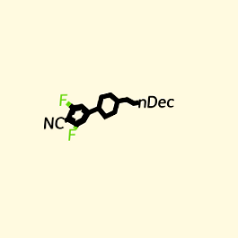 CCCCCCCCCCCCC1CCC(c2cc(F)c(C#N)c(F)c2)CC1